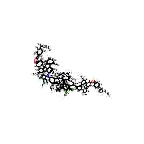 C=Cc1ccc(Oc2ccc(C3(c4ccc(F)cc4)c4ccccc4-c4ccc(C(Cc5ccc6c(c5)C5(CC6(C)C)CC(C)(C)c6ccc(N(c7ccc8c(c7)C(c7ccc(F)cc7)(c7ccc(Oc9ccc(C=C)cc9)cc7)c7ccccc7-8)c7c(F)c(C)c(F)c(F)c7F)cc65)c5c(F)c(F)c(F)c(F)c5F)cc43)cc2)cc1